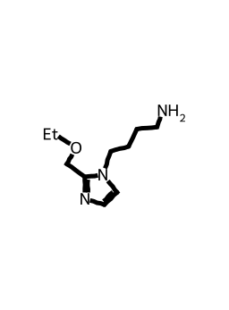 CCOCc1nccn1CCCCN